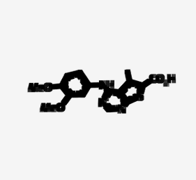 COc1ccc(Nc2ncnc3sc(C(=O)O)c(C)c23)cc1OC